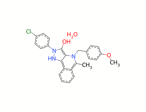 COc1ccc(CN2C3=C(O)N(c4ccc(Cl)cc4)NC3=c3ccccc3=C2C)cc1.O